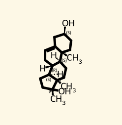 C[C@]12CC[C@H](O)CC1=CC[C@@H]1[C@@H]2CC[C@@]2(C)[C@H]1CC[C@@]2(C)O